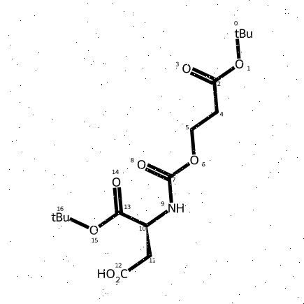 CC(C)(C)OC(=O)CCOC(=O)N[C@@H](CC(=O)O)C(=O)OC(C)(C)C